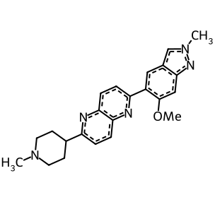 COc1cc2nn(C)cc2cc1-c1ccc2nc(C3CCN(C)CC3)ccc2n1